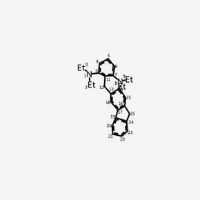 CCN(CC)c1cccc(N(CC)CC)c1Cc1ccc2c(c1)-c1ccccc1C2